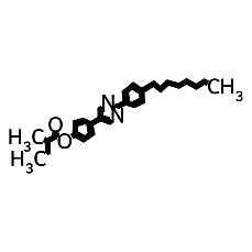 CCCCCCCCc1ccc(-c2ncc(-c3ccc(OC(=O)C(C)CC)cc3)cn2)cc1